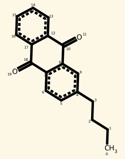 CCCCc1ccc2c(c1)C(=O)c1ccccc1C2=O